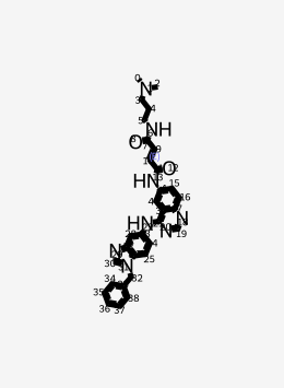 CN(C)CCCNC(=O)/C=C/C(=O)Nc1ccc2ncnc(Nc3ccc4c(c3)ncn4Cc3ccccc3)c2c1